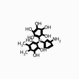 Cc1c(C)c(O)c(N(c2cccc(N)c2)c2c(O)c(O)c(O)c(O)c2O)c(O)c1O